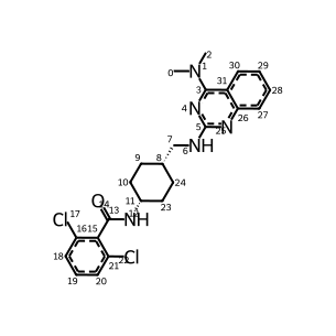 CN(C)c1nc(NC[C@H]2CC[C@@H](NC(=O)c3c(Cl)cccc3Cl)CC2)nc2ccccc12